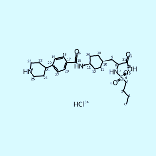 CCCCS(=O)(=O)NC(C[C@H]1CC[C@@H](NC(=O)c2ccc(C3CCNCC3)cc2)CC1)C(=O)O.Cl